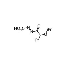 CC(C)OC(C(=O)N=NC(=O)O)C(C)C